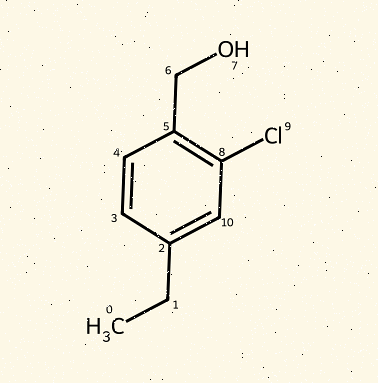 CCc1ccc(CO)c(Cl)c1